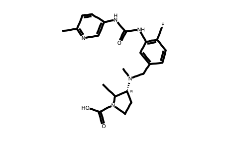 Cc1ccc(NC(=O)Nc2cc(CN(C)[C@@H]3CCN(C(=O)O)C3C)ccc2F)cn1